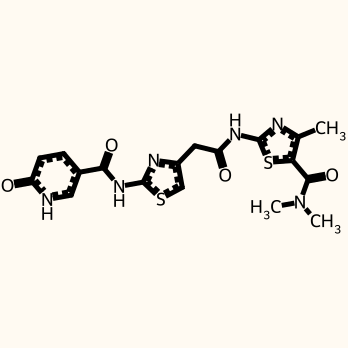 Cc1nc(NC(=O)Cc2csc(NC(=O)c3ccc(=O)[nH]c3)n2)sc1C(=O)N(C)C